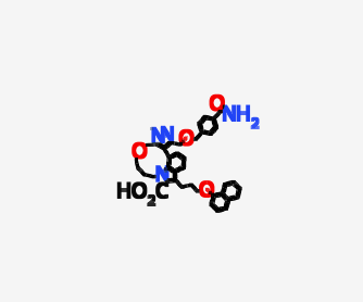 Cn1nc(COCc2ccc(C(N)=O)cc2)c2c1COCCCCn1c(C(=O)O)c(CCCOc3cccc4ccccc34)c3cccc-2c31